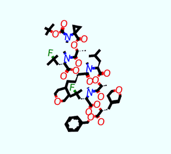 CC(C)C[C@@H](C(=O)O[C@H](C)C(=O)N(C)[C@@H](CC(C)(C)F)C(=O)O[C@H](CC1=CCOCC1)C(=O)OCc1ccccc1)N(C)C(=O)[C@@H](CCC1CCOCC1)OC(=O)[C@H](CC(C)(C)F)N(C)C(=O)[C@@H](C)OC(=O)C1(N(C)C(=O)OC(C)(C)C)CC1